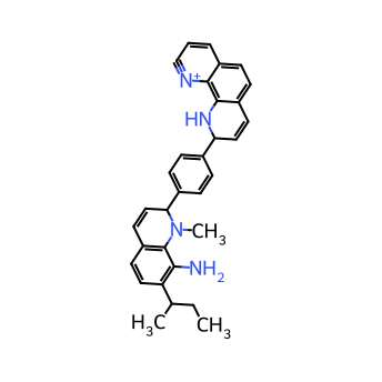 CCC(C)c1ccc2c(c1N)N(C)C(c1ccc(C3C=Cc4ccc5ccc#[n+]c5c4N3)cc1)C=C2